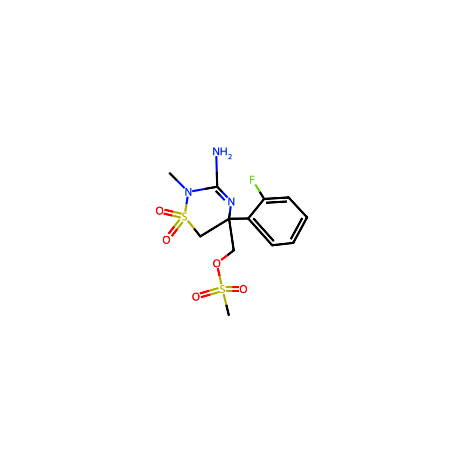 CN1C(N)=NC(COS(C)(=O)=O)(c2ccccc2F)CS1(=O)=O